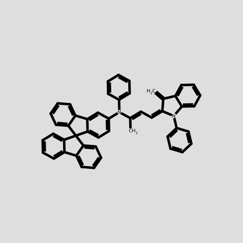 C=c1/c(=C\C=C(/C)N(c2ccccc2)c2ccc3c(c2)-c2ccccc2C32c3ccccc3-c3ccccc32)n(-c2ccccc2)c2ccccc12